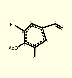 C=Cc1cc(C)c(OC(C)=O)c(Br)c1